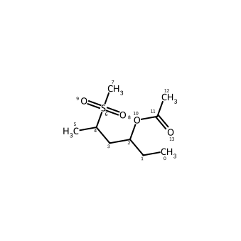 CCC(CC(C)S(C)(=O)=O)OC(C)=O